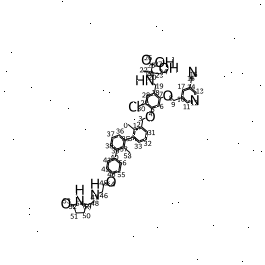 Cc1c(COc2cc(OCc3cncc(C#N)c3)c(CN[C@@](C)(CO)C(=O)O)cc2Cl)cccc1-c1cccc(-c2ccc(OCCNC[C@H]3CCC(=O)N3)cc2)c1C